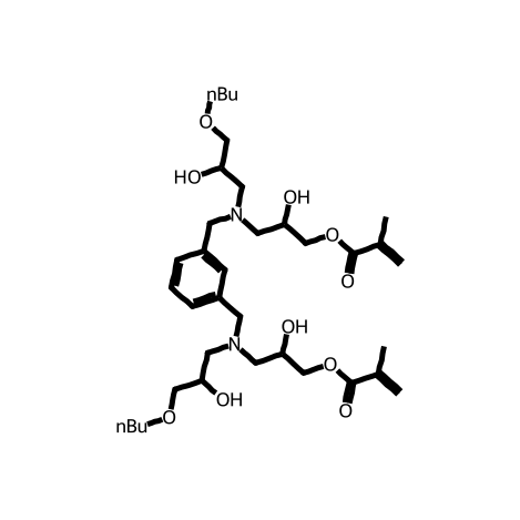 C=C(C)C(=O)OCC(O)CN(Cc1cccc(CN(CC(O)COCCCC)CC(O)COC(=O)C(=C)C)c1)CC(O)COCCCC